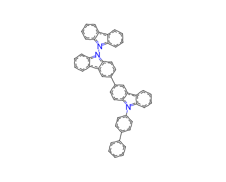 c1ccc(-c2ccc(-n3c4ccccc4c4cc(-c5ccc6c(c5)c5ccccc5n6-n5c6ccccc6c6ccccc65)ccc43)cc2)cc1